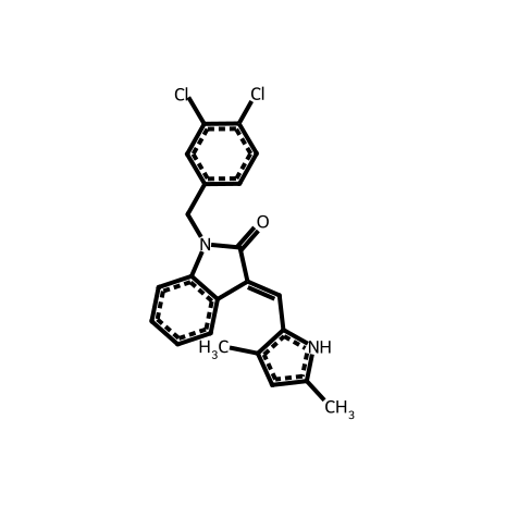 Cc1cc(C)c(C=C2C(=O)N(Cc3ccc(Cl)c(Cl)c3)c3ccccc32)[nH]1